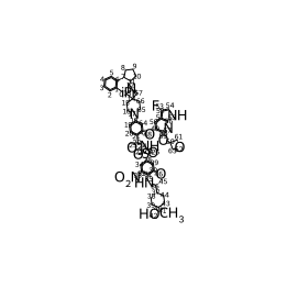 CC(C)c1ccccc1[C@H]1CCC[C@H]1N1CC2(CCN(c3ccc(C(=O)NS(=O)(=O)c4cc5c(c([N+](=O)[O-])c4)N[C@@H]([C@H]4CC[C@](C)(O)CC4)CO5)c(Oc4cc5c(F)c[nH]c5nc4OC4COC4)c3)CC2)C1